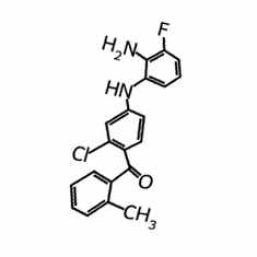 Cc1ccccc1C(=O)c1ccc(Nc2cccc(F)c2N)cc1Cl